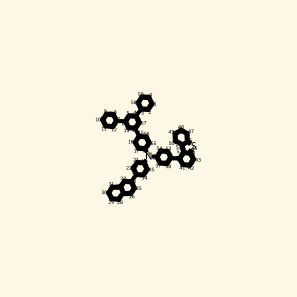 c1ccc(-c2cc(-c3ccccc3)cc(-c3ccc(N(c4ccc(-c5ccc6ccccc6c5)cc4)c4ccc(-c5cccc6sc7ccccc7c56)cc4)cc3)c2)cc1